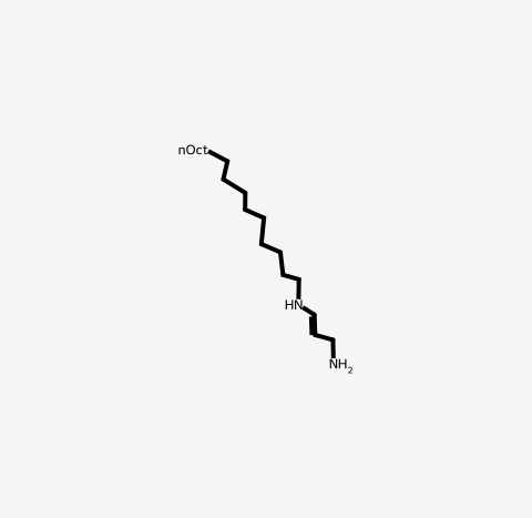 CCCCCCCCCCCCCCCCCNC=CCN